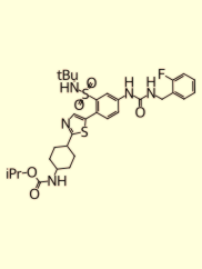 CC(C)OC(=O)NC1CCC(c2ncc(-c3ccc(NC(=O)NCc4ccccc4F)cc3S(=O)(=O)NC(C)(C)C)s2)CC1